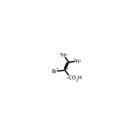 [2H]C([2H])=C(Br)C(=O)O